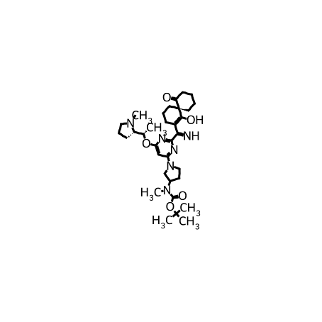 C[C@H](Oc1cc(N2CCC(N(C)C(=O)OC(C)(C)C)C2)nc(C(=N)C2=C(O)[C@]3(CCCCC3=O)CCC2)n1)[C@@H]1CCCN1C